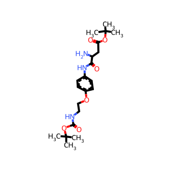 CC(C)(C)OC(=O)CC(N)C(=O)Nc1ccc(OCCNC(=O)OC(C)(C)C)cc1